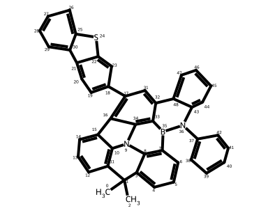 CC1(C)c2cccc3c2-n2c4c1cccc4c1c(-c4ccc5c(c4)sc4ccccc45)cc4c(c12)B3N(c1ccccc1)c1ccccc1-4